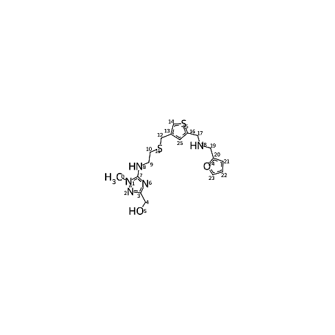 Cn1nc(CO)nc1NCCSCc1csc(CNCc2ccco2)c1